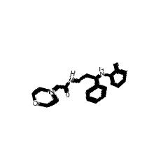 Cc1ccccc1NC(CCNC(=O)CN1CCOCC1)c1ccccc1